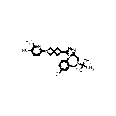 Cc1nc(N2CC3(CC(c4nnc5n4-c4ccc(Cl)cc4CN(C(C)(C)C(F)(F)F)C5)C3)C2)ccc1C#N